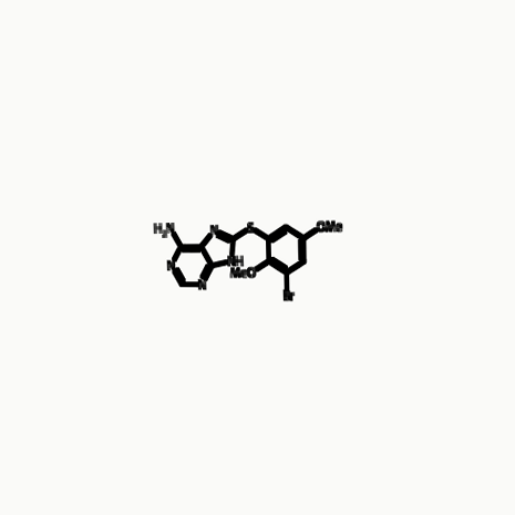 COc1cc(Br)c(OC)c(Sc2nc3c(N)ncnc3[nH]2)c1